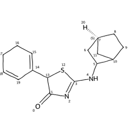 O=C1N=C(NC2C[C@H]3CCC2C3)SC1C1=CCCC=C1